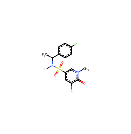 CCN([C@H](c1ccc(F)cc1)C(F)(F)F)S(=O)(=O)c1cc(Cl)c(=O)n(C)c1